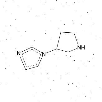 c1cn(C2CCNC2)cn1